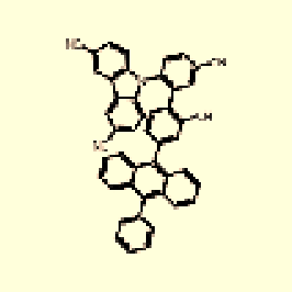 N#Cc1ccc(-n2c3ccc(C#N)cc3c3cc(C#N)ccc32)c(-c2ccc(-c3c4ccccc4c(-c4ccccc4)c4ccccc34)cc2C#N)c1